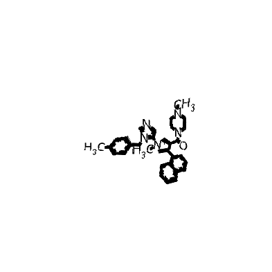 Cc1ccc(Cn2cncc2[N+]2(C)C=C(C(=O)N3CCN(C)CC3)C(c3cccc4ccccc34)=C2)cc1